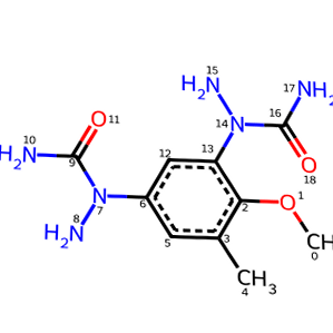 COc1c(C)cc(N(N)C(N)=O)cc1N(N)C(N)=O